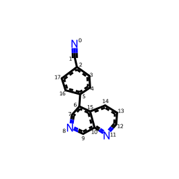 N#Cc1ccc(-c2cncc3ncccc23)cc1